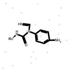 CC[C@H](C)NC(=O)N(C=N)c1ccc(N)cc1